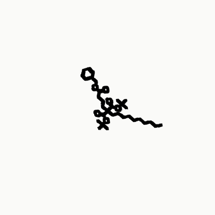 CCCCCCCCCCC(CCCC(=O)OCc1ccccc1)(C(=O)OC(C)(C)C)C(=O)OC(C)(C)C